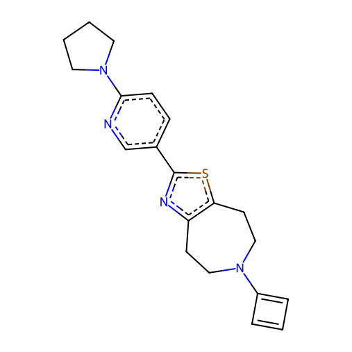 C1=CC(N2CCc3nc(-c4ccc(N5CCCC5)nc4)sc3CC2)=C1